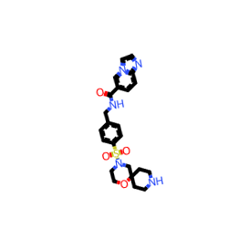 O=C(NCc1ccc(S(=O)(=O)N2CCOC3(CCNCC3)C2)cc1)c1ccc2nccn2c1